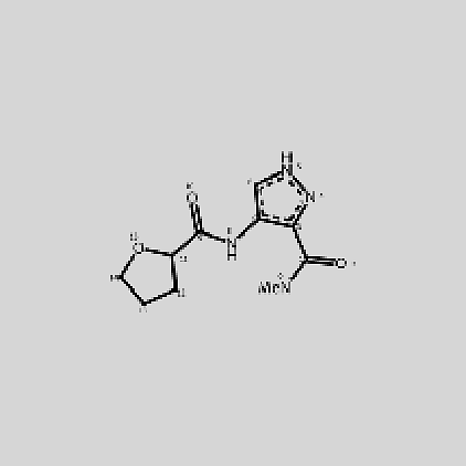 CNC(=O)c1n[nH]cc1NC(=O)C1CCCO1